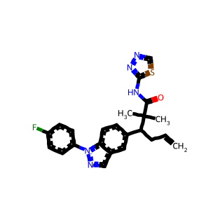 C=CCC(c1ccc2c(cnn2-c2ccc(F)cc2)c1)C(C)(C)C(=O)Nc1nncs1